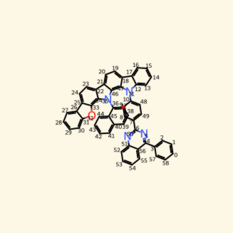 c1ccc(-c2nc(-c3ccc(-n4c5ccccc5c5ccc6c7ccc8c9ccccc9oc8c7n(-c7cccc8ccccc78)c6c54)cc3)nc3ccccc23)cc1